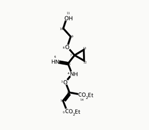 CCOC(=O)/C=C(/ONC(=N)C1(OCCO)CC1)C(=O)OCC